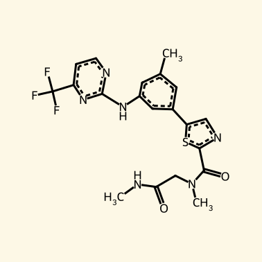 CNC(=O)CN(C)C(=O)c1ncc(-c2cc(C)cc(Nc3nccc(C(F)(F)F)n3)c2)s1